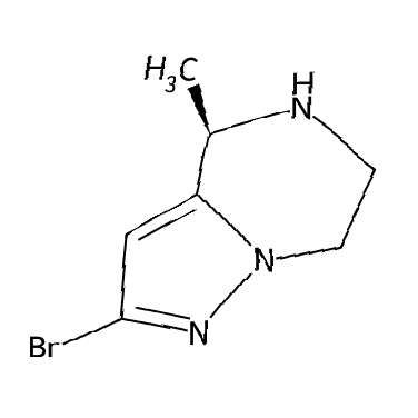 C[C@H]1NCCn2nc(Br)cc21